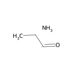 CC[C]=O.N